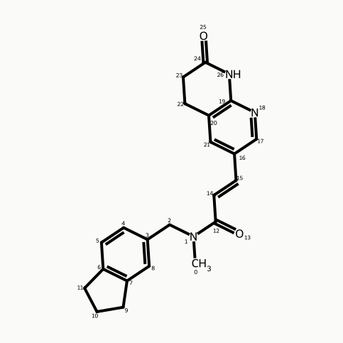 CN(Cc1ccc2c(c1)CCC2)C(=O)C=Cc1cnc2c(c1)CCC(=O)N2